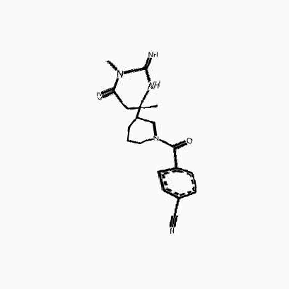 CN1C(=N)N[C@](C)(C2CCCN(C(=O)c3ccc(C#N)cc3)C2)CC1=O